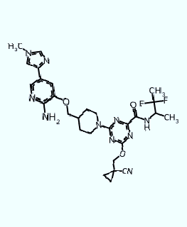 CC(NC(=O)c1nc(OCC2(C#N)CC2)nc(N2CCC(COc3cc(-c4cn(C)cn4)cnc3N)CC2)n1)C(C)(F)F